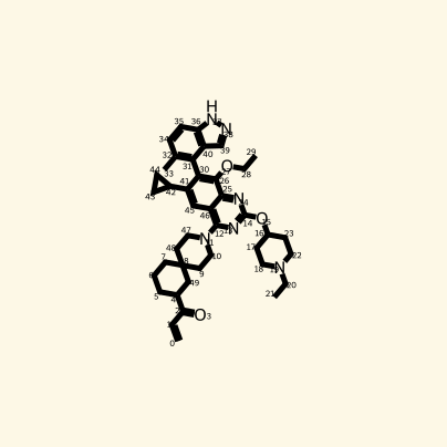 C=CC(=O)C1CCCC2(CCN(c3nc(OC4CCN(CC)CC4)nc4c(OCC)c(-c5c(C)ccc6[nH]ncc56)c(C5CC5)cc34)CC2)C1